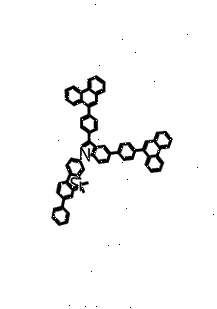 C[Si]1(C)c2cc(-c3ccccc3)ccc2-c2ccc(-n3cc(-c4ccc(-c5cc6ccccc6c6ccccc56)cc4)c4cc(-c5ccc(-c6cc7ccccc7c7ccccc67)cc5)ccc43)cc21